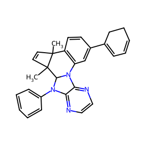 CC12C=CC1(C)C1N(c3ccccc3)c3nccnc3N1c1cc(C3=CC=CCC3)ccc12